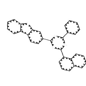 c1ccc(-c2nc(-c3ccc4c(c3)oc3ccccc34)nc(-c3cccc4ccccc34)n2)cc1